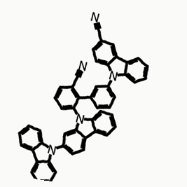 N#Cc1ccc2c(c1)c1ccccc1n2-c1cccc(-c2c(C#N)cccc2-n2c3ccccc3c3ccc(-n4c5ccccc5c5ccccc54)cc32)c1